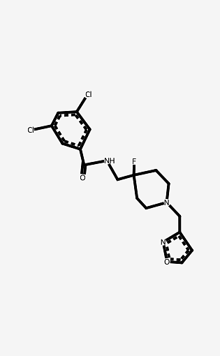 O=C(NCC1(F)CCN(Cc2ccon2)CC1)c1cc(Cl)cc(Cl)c1